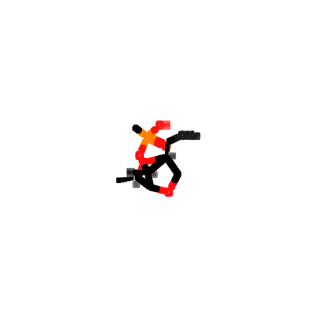 COC[C@@]12COC([C@H](C)O1)[C@@H]2OP(C)(=O)O